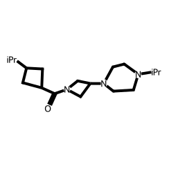 CC(C)C1CC(C(=O)N2CC(N3CCN(C(C)C)CC3)C2)C1